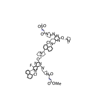 COC(=O)/C=C/C(=O)N1CC(CN(C)c2nc(OCC34CCCN3C(c3ccc(Cl)c5c(N6CCc7c(nc(OC[C@@H]8CCCN8C)nc7N(C)[C@@H]7CCN(C(=O)/C=C/S(C)(=O)=O)C7)C6)cccc35)CC4)nc3c(F)c(-c4cccc5cccc(Cl)c45)ncc23)C1